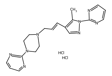 Cc1c(/C=C/CN2CCN(c3ncccn3)CC2)cnn1-c1ncccn1.Cl.Cl